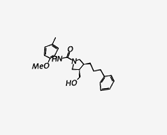 COc1ccc(C)cc1NC(=O)N1C[C@@H](CCCc2ccccc2)[C@@H](CO)C1